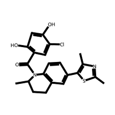 Cc1nc(C)c(-c2ccc3c(c2)CCC(C)N3C(=O)c2cc(Cl)c(O)cc2O)s1